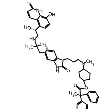 CN(CCCn1c(=O)[nH]c2cc(CC(C)(C)NC[C@H](O)c3ccc(O)c4[nH]c(=O)ccc34)ccc21)C1CCC(OC(=O)C(C)(c2ccccc2)c2ccccc2)CC1